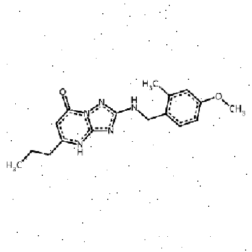 CCCc1cc(=O)n2nc(NCc3ccc(OC)cc3C)nc2[nH]1